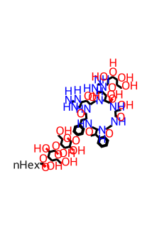 CCCCCCC(=O)OC1C(O)C(CO)OC(OC2C(CO)OC(Oc3ccc(CC4NC(=O)C(C(C)c5ccccc5)NC(=O)CNC(=O)C(CO)NC(=O)C(C(O)C5CNC(=N)N5C5OC(CO)C(O)C(O)C5O)NC(=O)C(C(O)C5CNC(=N)N5)NC4=O)cc3)C(O)C2O)C1O